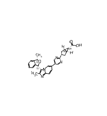 Cc1nc2ccc(-c3cnc(C4C[C@@H]5[C@H](C4)[C@H]5C(=O)O)nc3)cn2c1[C@H]1O[C@@H](C)c2ccccc21